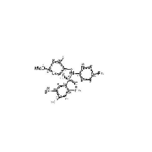 COc1ccc(CN(c2ccc(F)cn2)S(=O)(=O)c2cc(Br)c(F)cc2F)c(C)c1